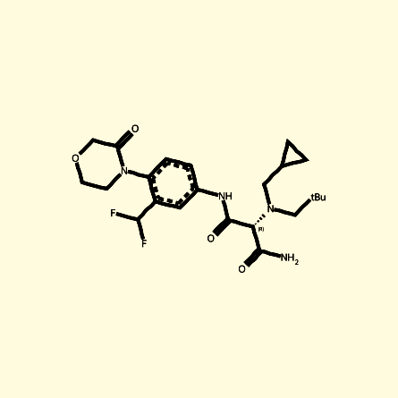 CC(C)(C)CN(CC1CC1)[C@H](C(N)=O)C(=O)Nc1ccc(N2CCOCC2=O)c(C(F)F)c1